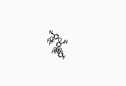 N#Cc1cc(S(=O)(=O)Nc2ccc(F)cn2)ccc1Oc1ccc(C#N)c(OC(F)(F)F)c1